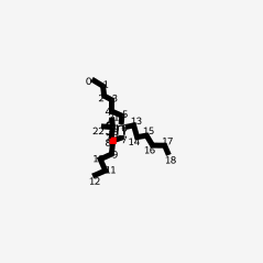 CCCCC[CH2][Sn]([CH2]CCCCC)([CH2]CCCCC)[C](C)(C)C